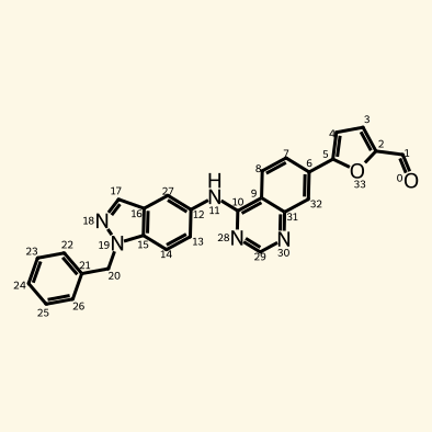 O=Cc1ccc(-c2ccc3c(Nc4ccc5c(cnn5Cc5ccccc5)c4)ncnc3c2)o1